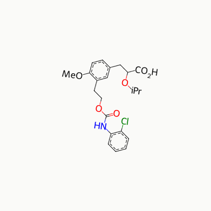 COc1ccc(CC(OC(C)C)C(=O)O)cc1CCOC(=O)Nc1ccccc1Cl